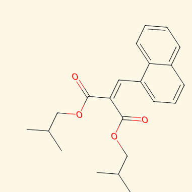 CC(C)COC(=O)C(=Cc1cccc2ccccc12)C(=O)OCC(C)C